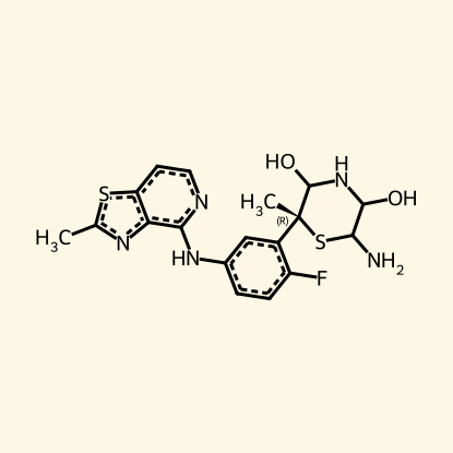 Cc1nc2c(Nc3ccc(F)c([C@@]4(C)SC(N)C(O)NC4O)c3)nccc2s1